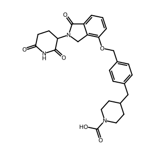 O=C1CCC(N2Cc3c(OCc4ccc(CC5CCN(C(=O)O)CC5)cc4)cccc3C2=O)C(=O)N1